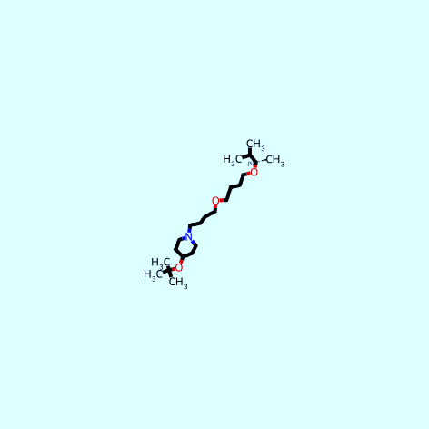 CC(C)[C@H](C)OCCCCOCCCCN1CCC(OC(C)(C)C)CC1